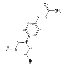 NC(=O)CCc1ccc(N(CCBr)CCBr)cc1